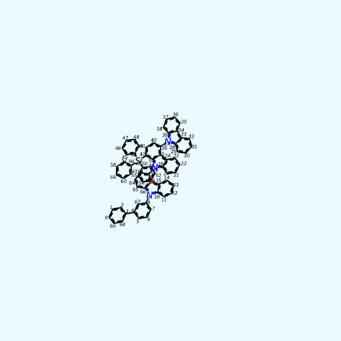 c1ccc(-c2cccc(-n3c4ccccc4c4c(-n5c6ccccc6c6c(-n7c8ccccc8c8ccccc87)ccc([Si](c7ccccc7)(c7ccccc7)c7ccccc7)c65)cccc43)c2)cc1